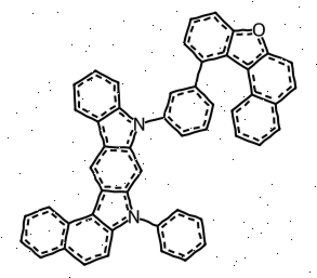 c1ccc(-n2c3cc4c(cc3c3c5ccccc5ccc32)c2ccccc2n4-c2cccc(-c3cccc4oc5ccc6ccccc6c5c34)c2)cc1